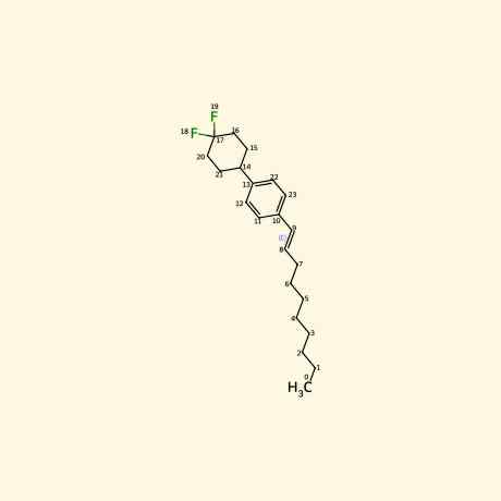 CCCCCCCC/C=C/c1ccc(C2CCC(F)(F)CC2)cc1